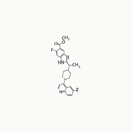 COC(=O)c1cc2nc(C(C)C3CCC(c4ccnc5ccc(F)cc45)CC3)[nH]c2cc1F